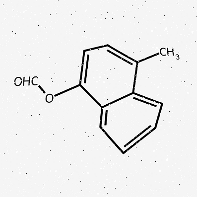 Cc1ccc(OC=O)c2ccccc12